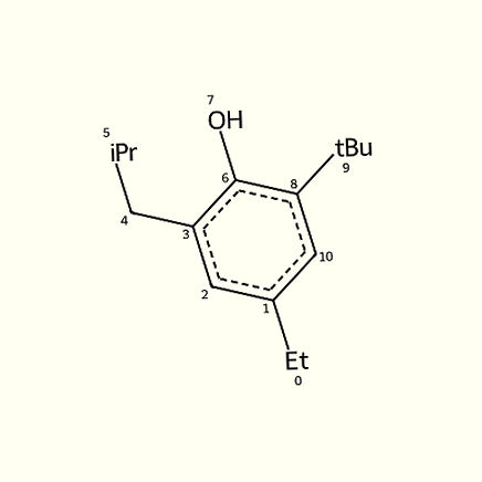 CCc1cc(CC(C)C)c(O)c(C(C)(C)C)c1